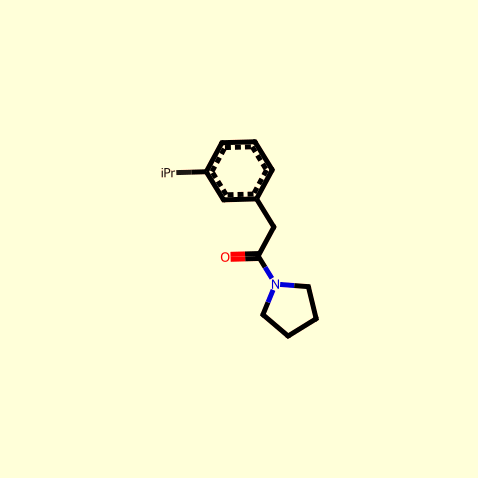 CC(C)c1cccc(CC(=O)N2CCCC2)c1